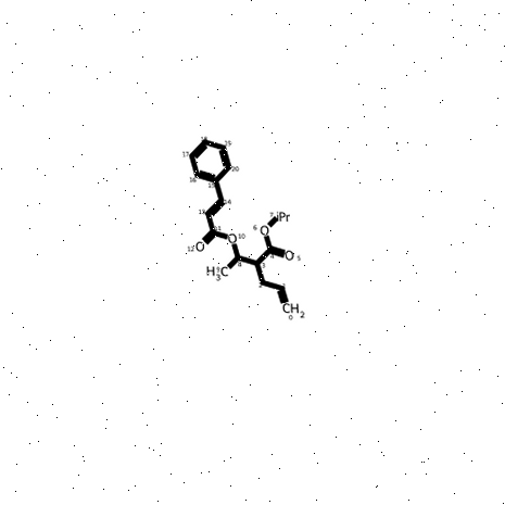 C=CCC(C(=O)OC(C)C)C(C)OC(=O)C=Cc1ccccc1